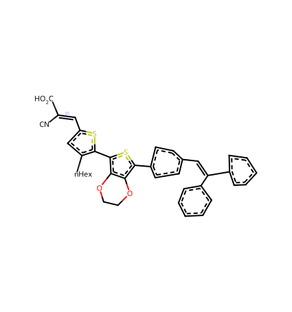 [C-]#[N+]/C(=C\c1cc(CCCCCC)c(-c2sc(-c3ccc(C=C(c4ccccc4)c4ccccc4)cc3)c3c2OCCO3)s1)C(=O)O